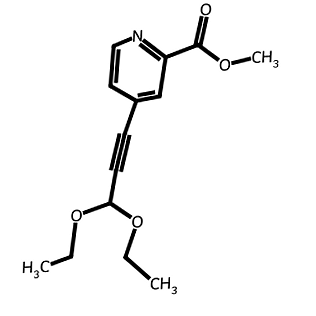 CCOC(C#Cc1ccnc(C(=O)OC)c1)OCC